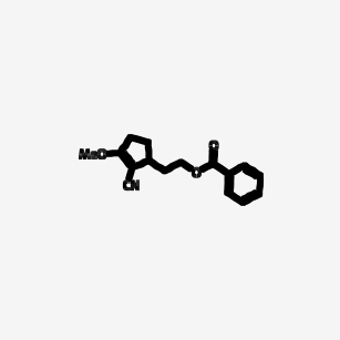 COC1=C(C#N)C(CCOC(=O)c2ccccc2)CC1